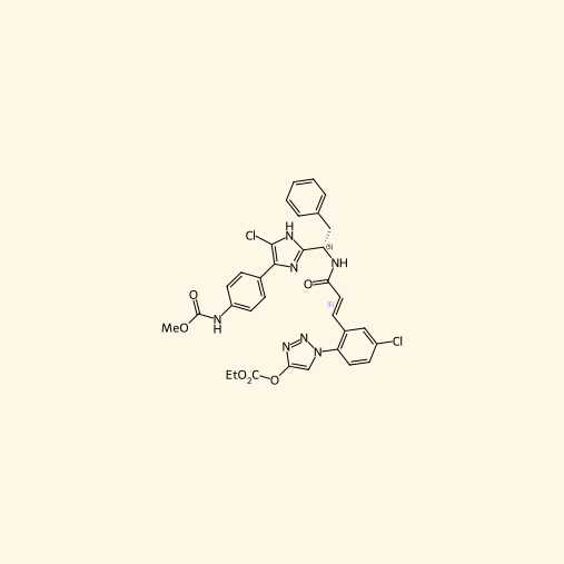 CCOC(=O)Oc1cn(-c2ccc(Cl)cc2/C=C/C(=O)N[C@@H](Cc2ccccc2)c2nc(-c3ccc(NC(=O)OC)cc3)c(Cl)[nH]2)nn1